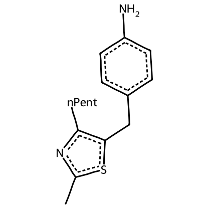 CCCCCc1nc(C)sc1Cc1ccc(N)cc1